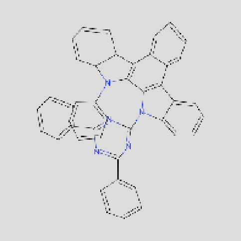 C1=CC2c3c(c4c(c5ccccc35)c3ccccc3n4-c3nc(-c4ccccc4)nc(-c4ccccc4)n3)N(c3ccccc3)C2C=C1